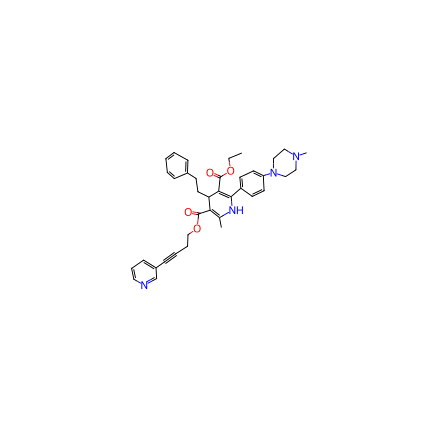 CCOC(=O)C1=C(c2ccc(N3CCN(C)CC3)cc2)NC(C)=C(C(=O)OCCC#Cc2cccnc2)C1CCc1ccccc1